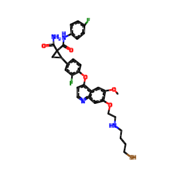 COc1cc2c(Oc3ccc(C4CC4(C(N)=O)C(=O)Nc4ccc(F)cc4)cc3F)ccnc2cc1OCCNCCCCS